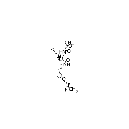 C[S+]([O-])CC(=O)NCc1c2c(nn1CCC1CC1)C[C@H](CCc1cccc(OCCCC(C)(F)F)c1)NC2=O